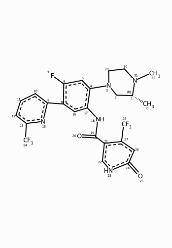 C[C@@H]1CN(c2cc(F)c(-c3cccc(C(F)(F)F)n3)cc2NC(=O)c2c[nH]c(=O)cc2C(F)(F)F)CCN1C